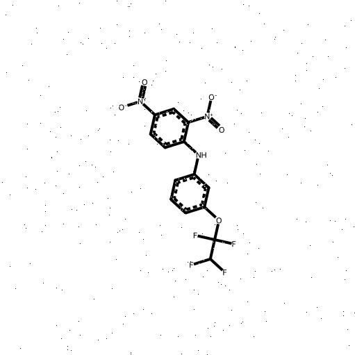 O=[N+]([O-])c1ccc(Nc2cccc(OC(F)(F)C(F)F)c2)c([N+](=O)[O-])c1